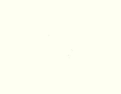 CCCC[Si](C)(C)CCOC[SiH](C)NCCC